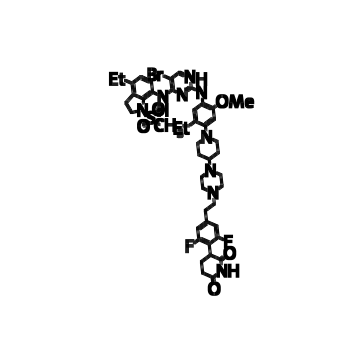 CCc1cc(Nc2ncc(Br)c(Nc3ccc(CC)c4c3N(S(C)(=O)=O)CC4)n2)c(OC)cc1N1CCC(N2CCN(CCc3cc(F)c(C4CCC(=O)NC4=O)c(F)c3)CC2)CC1